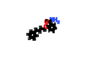 NC(=O)c1ccccc1OCCCCc1ccccc1